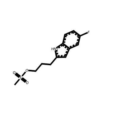 CS(=O)(=O)OCCCc1cc2cc(F)ccc2[nH]1